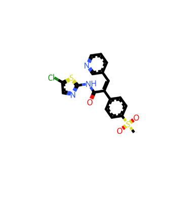 CS(=O)(=O)c1ccc(C(=Cc2cccnc2)C(=O)Nc2ncc(Cl)s2)cc1